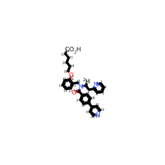 [2H]C(Cc1ccccn1)N(Cc1ccccc1OCCCCCC(=O)O)C(=O)c1ccc(-c2ccncc2)cc1